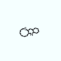 c1cccc2nc3ccccc3cc2scc1